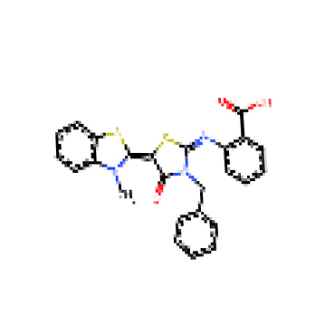 CN1C(=C2SC(=Nc3ccccc3C(=O)O)N(Cc3ccccc3)C2=O)Sc2ccccc21